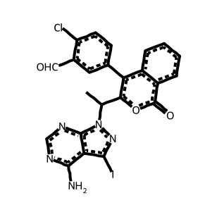 CC(c1oc(=O)c2ccccc2c1-c1ccc(Cl)c(C=O)c1)n1nc(I)c2c(N)ncnc21